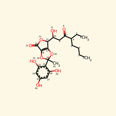 CCCCC(CC)C(=O)CC(O)C1OC(=O)C2=C1OC(C)(c1c(O)cc(O)cc1O)O2